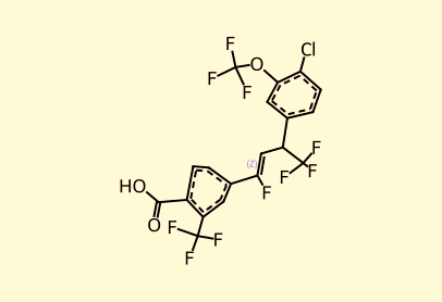 O=C(O)c1ccc(/C(F)=C/C(c2ccc(Cl)c(OC(F)(F)F)c2)C(F)(F)F)cc1C(F)(F)F